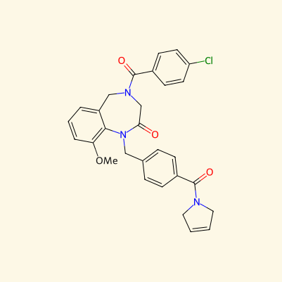 COc1cccc2c1N(Cc1ccc(C(=O)N3CC=CC3)cc1)C(=O)CN(C(=O)c1ccc(Cl)cc1)C2